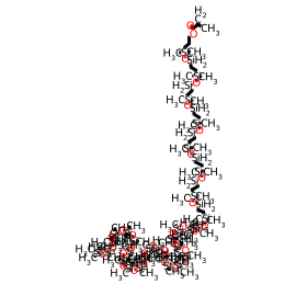 C=C(C)C(=O)OCCC[Si](C)(C)O[SiH2]CC[Si](C)(C)O[SiH2]CC[Si](C)(C)O[SiH2]CC[Si](C)(C)O[SiH2]CC[Si](C)(C)O[SiH2]CC[Si](C)(C)O[SiH2]CC[Si](C)(C)O[SiH2]CC[Si](C)(C)O[Si](C)(C)O[Si](C)(C)O[Si](C)(C)O[Si](C)(C)O[Si](C)(C)O[Si](C)(C)O[Si](C)(C)O[Si](C)(C)O[Si](C)(C)O[Si](C)(C)O[Si](C)(C)O[Si](C)(C)O[Si](C)(C)O[Si](C)(C)O[Si](C)(C)O[Si](C)(C)O[Si](C)(C)O[Si](C)(C)O[Si](C)(C)O[Si](C)(C)O[Si](C)(C)O[Si](C)(C)C